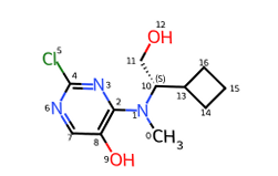 CN(c1nc(Cl)ncc1O)[C@H](CO)C1CCC1